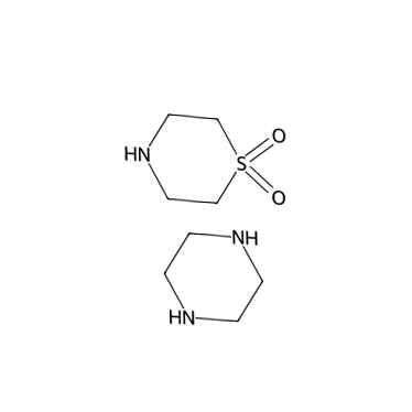 C1CNCCN1.O=S1(=O)CCNCC1